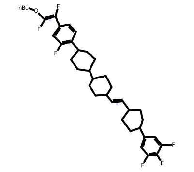 CCCCO/C(F)=C(\F)c1ccc(C2CCC(C3CCC(/C=C/C4CCC(c5cc(F)c(F)c(F)c5)CC4)CC3)CC2)c(F)c1